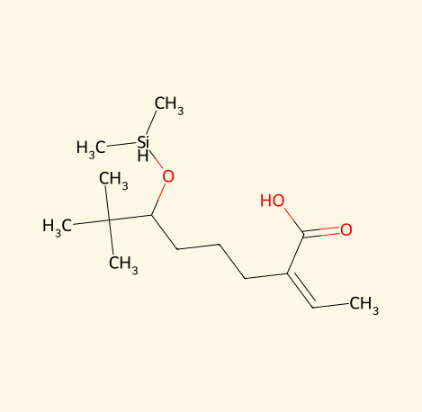 CC=C(CCCC(O[SiH](C)C)C(C)(C)C)C(=O)O